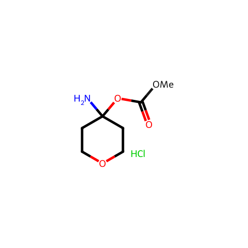 COC(=O)OC1(N)CCOCC1.Cl